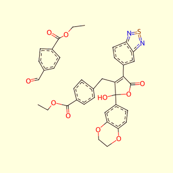 CCOC(=O)c1ccc(C=O)cc1.CCOC(=O)c1ccc(CC2=C(c3ccc4nsnc4c3)C(=O)OC2(O)c2ccc3c(c2)OCCO3)cc1